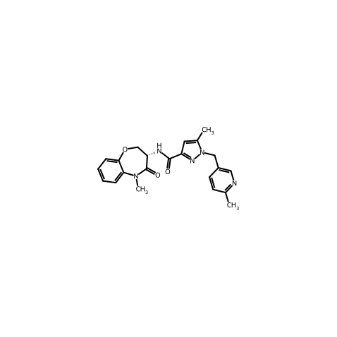 Cc1ccc(Cn2nc(C(=O)N[C@H]3COc4ccccc4N(C)C3=O)cc2C)cn1